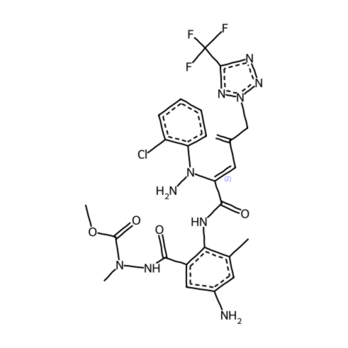 C=C(/C=C(/C(=O)Nc1c(C)cc(N)cc1C(=O)NN(C)C(=O)OC)N(N)c1ccccc1Cl)Cn1nnc(C(F)(F)F)n1